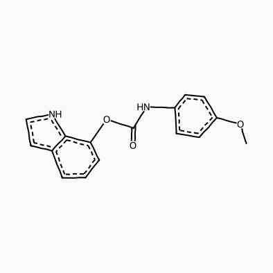 COc1ccc(NC(=O)Oc2cccc3cc[nH]c23)cc1